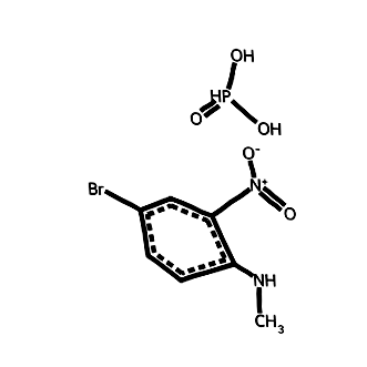 CNc1ccc(Br)cc1[N+](=O)[O-].O=[PH](O)O